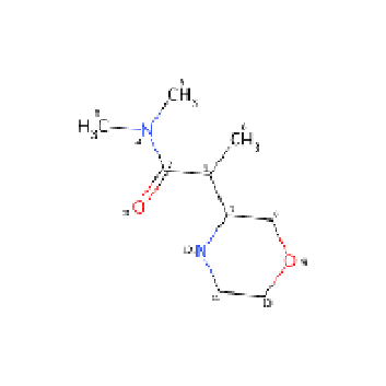 CC(C(=O)N(C)C)C1COCC[N]1